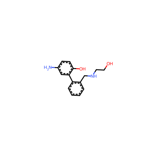 Nc1ccc(O)c(-c2ccccc2CNCCO)c1